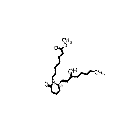 CCCCCC(O)C=C[C@H]1CCCC(=O)N1CCCCCCC(=O)OC